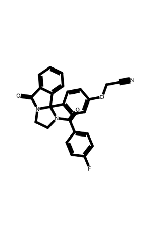 N#CCOc1ccc(C23c4ccccc4C(=O)N2CCN3C(=O)c2ccc(F)cc2)cc1